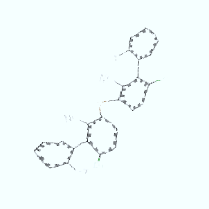 CC(C)c1ccccc1-c1c(Br)ccc(Sc2ccc(Br)c(-c3ccccc3C(C)C)c2C#N)c1C#N